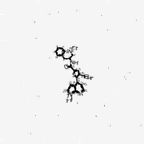 CCNCC(Cc1ccccc1)NC(=O)c1cc(Br)c(-c2ccnc3[nH]ccc23)s1